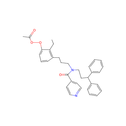 CCc1c(CCCN(CCC(c2ccccc2)c2ccccc2)C(=O)c2ccncc2)cccc1OOC(C)=O